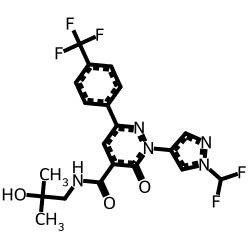 CC(C)(O)CNC(=O)c1cc(-c2ccc(C(F)(F)F)cc2)nn(-c2cnn(C(F)F)c2)c1=O